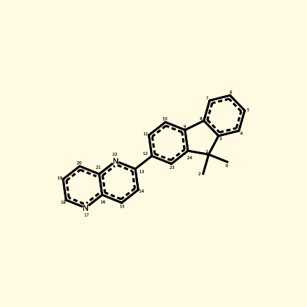 CC1(C)c2ccccc2-c2ccc(-c3ccc4ncccc4n3)cc21